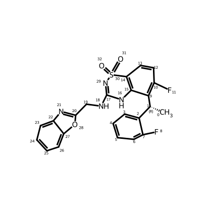 C[C@H](c1ccccc1F)c1c(F)ccc2c1NC(NCc1nc3ccccc3o1)=NS2(=O)=O